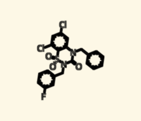 O=C1N(Cc2ccccc2)c2cc(Cl)cc(Cl)c2S(=O)(=O)N1Cc1cccc(F)c1